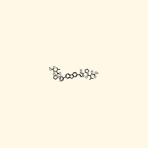 COC(=O)NC(C(=O)N1CCC[C@H]1c1ncc(-c2ccc3c(c2)Cc2cc(-c4cnc([C@@H]5CCCN5C(=O)[C@@H](NC(=O)OC)C(C)C)[nH]4)ccc2-3)[nH]1)C(C)C